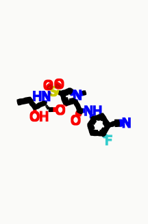 C=C[C@H](O)[C@H]1COc2c(cn(C)c2C(=O)Nc2ccc(F)c(C#N)c2)S(=O)(=O)N1